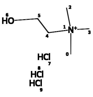 C[N+](C)(C)CCO.Cl.Cl.Cl